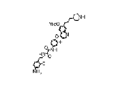 COc1cc2c(Oc3ccc(NC(=O)C(=O)NCCc4ccc(N)cc4Cl)cc3F)ccnc2cc1CCCC1CCNCC1